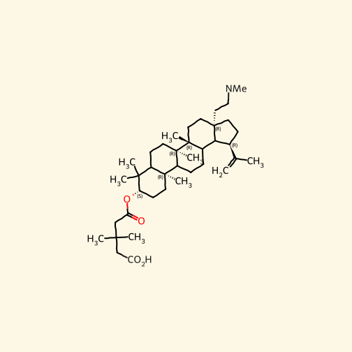 C=C(C)[C@@H]1CC[C@]2(CCNC)CC[C@]3(C)C(CCC4[C@@]5(C)CC[C@H](OC(=O)CC(C)(C)CC(=O)O)C(C)(C)C5CC[C@]43C)C12